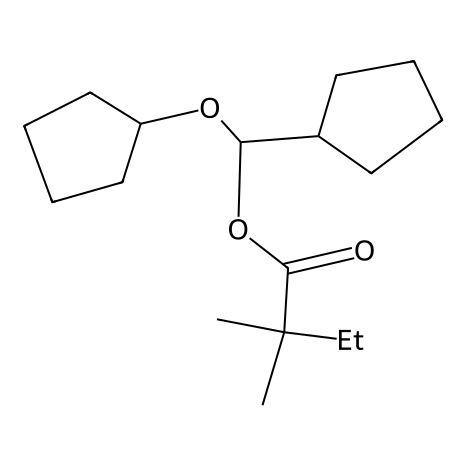 CCC(C)(C)C(=O)OC(OC1CCCC1)C1CCCC1